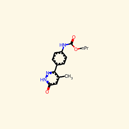 CCCOC(=O)Nc1ccc(-c2n[nH]c(=O)cc2C)cc1